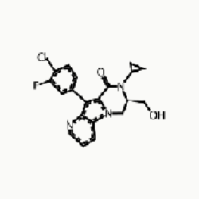 O=C1c2c(-c3ccc(Cl)c(F)c3)c3ncccc3n2C[C@H](CO)N1C1CC1